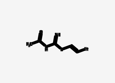 CC/C=C/SC(=N)NC(=O)C(F)(F)F